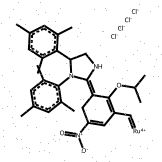 Cc1cc(C)c(C2CNC(=C3CC([N+](=O)[O-])=CC([CH]=[Ru+4])=C3OC(C)C)N2c2c(C)cc(C)cc2C)c(C)c1.[Cl-].[Cl-].[Cl-].[Cl-]